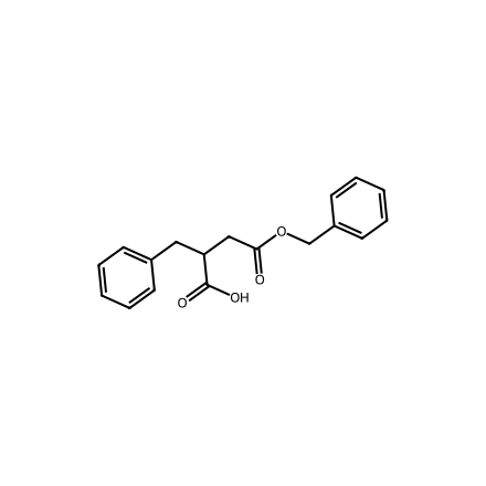 O=C(CC(Cc1ccccc1)C(=O)O)OCc1ccccc1